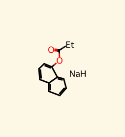 CCC(=O)Oc1cccc2ccccc12.[NaH]